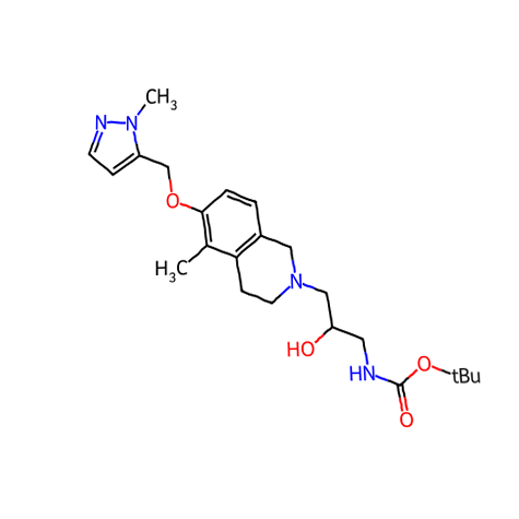 Cc1c(OCc2ccnn2C)ccc2c1CCN(CC(O)CNC(=O)OC(C)(C)C)C2